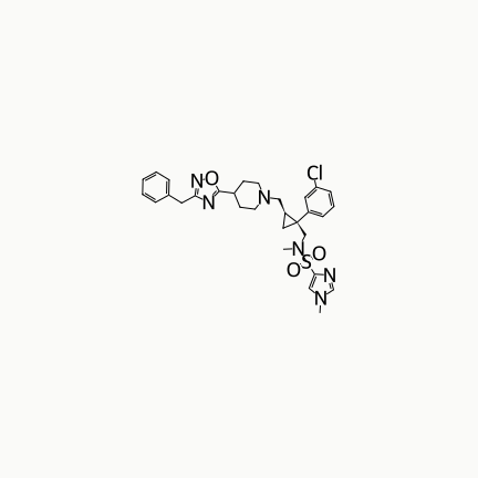 CN(C[C@@]1(c2cccc(Cl)c2)C[C@H]1CN1CCC(c2nc(Cc3ccccc3)no2)CC1)S(=O)(=O)c1cn(C)cn1